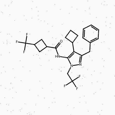 O=C(Nc1c(C2CCC2)c(Cc2ccccc2)nn1CC(F)(F)F)C1CC(C(F)(F)F)C1